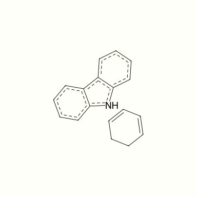 C1=CCCC=C1.c1ccc2c(c1)[nH]c1ccccc12